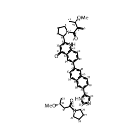 C=C(C(=O)N1CCCC1c1cc(=O)c2cc(-c3ccc4cc(-c5cnc([C@@H]6CCCN6C(=O)C[C@@H](C)OC)[nH]5)ccc4c3)ccc2[nH]1)[C@@H](C)OC